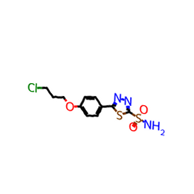 NS(=O)(=O)c1nnc(-c2ccc(OCCCCl)cc2)s1